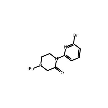 CC(C)(C)N1CCN(c2cccc(Br)n2)C(=O)C1